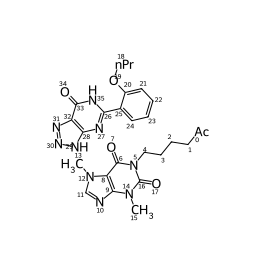 CC(=O)CCCCn1c(=O)c2c(ncn2C)n(C)c1=O.CCCOc1ccccc1-c1nc2[nH]nnc2c(=O)[nH]1